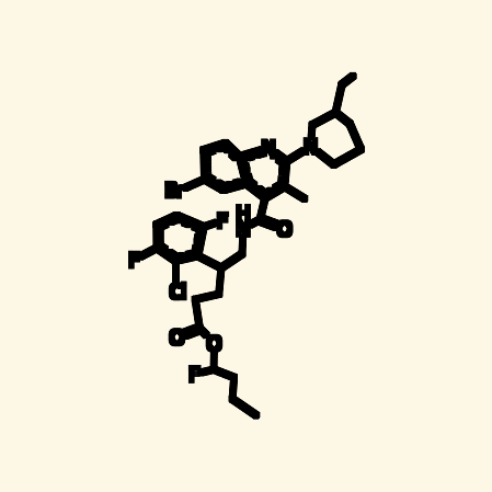 CCCC(F)OC(=O)CCC(CNC(=O)c1c(C)c(N2CCCC(CC)C2)nc2ccc(Br)cc12)c1c(F)ccc(F)c1Cl